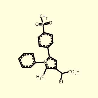 CCC(C(=O)O)c1cc(-c2ccc(S(C)(=O)=O)cc2)n(-c2ccccc2)c1C